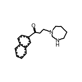 O=C(CCN1CCCCNC1)c1ccc2ccccc2c1